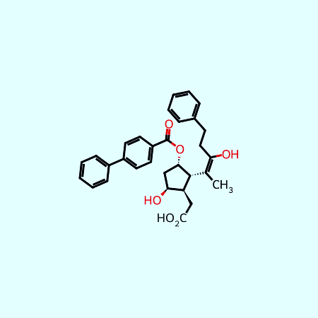 CC(=C(O)CCc1ccccc1)[C@@H]1[C@@H](CC(=O)O)[C@@H](O)C[C@@H]1OC(=O)c1ccc(-c2ccccc2)cc1